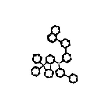 c1ccc(-c2cccc(N(c3cccc(-c4cccc(-c5cccc6ccccc56)c4)c3)c3cccc4c3-c3ccccc3C4(c3ccccc3)c3ccccc3)c2)cc1